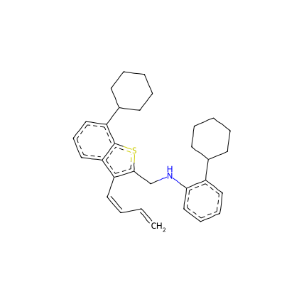 C=C/C=C\c1c(CNc2ccccc2C2CCCCC2)sc2c(C3CCCCC3)cccc12